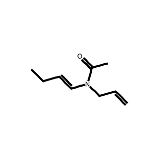 C=CCN(/C=C/CC)C(C)=O